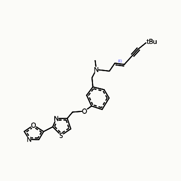 CN(C/C=C/C#CC(C)(C)C)Cc1cccc(OCc2csc(-c3cnco3)n2)c1